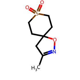 CC1=NOC2(CCS(=O)(=O)CC2)C1